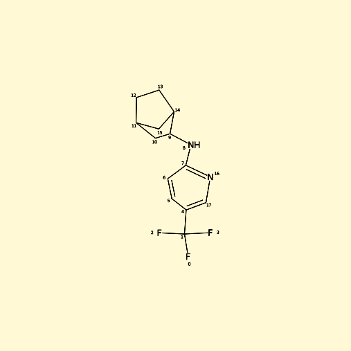 FC(F)(F)c1ccc(NC2CC3CCC2C3)nc1